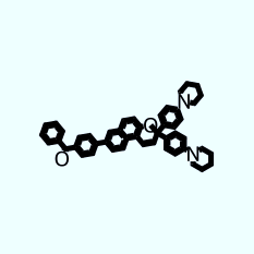 O=C(c1ccccc1)c1ccc(-c2ccc3c4c(ccc3c2)OC(c2ccc(N3CCCCC3)cc2)(c2ccc(N3CCCCC3)cc2)C=C4)cc1